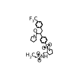 C=CS(=O)(=O)NC[C@@H]1CCCN1S(=O)(=O)c1ccc(C(Cc2ccc(C(F)(F)F)cc2)C(=O)N2CCCC2)cc1